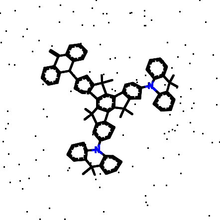 C=C1c2ccccc2C(c2ccc3c(c2)C(C)(C)c2c-3c3c(c4c2-c2ccc(N5c6ccccc6C(C)(C)c6ccccc65)cc2C4(C)C)-c2ccc(N4c5ccccc5C(C)(C)c5ccccc54)cc2C3(C)C)c2ccccc21